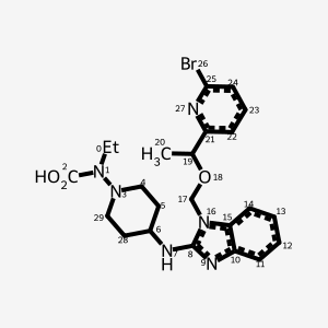 CCN(C(=O)O)N1CCC(Nc2nc3ccccc3n2COC(C)c2cccc(Br)n2)CC1